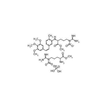 COC(=O)C(CCCN(C(=N)N)[N+](=O)[O-])Nc1cc(/C=C\c2cc(OC)c(OC)c(OC)c2)ccc1C.COC(=O)C(N)CCCN(C(=N)N)[N+](=O)[O-].O=P(O)(O)O